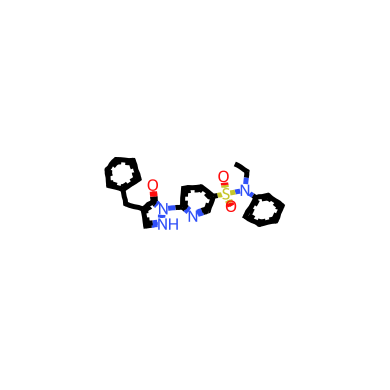 CCN(c1ccccc1)S(=O)(=O)c1ccc(-n2[nH]cc(Cc3ccccc3)c2=O)nc1